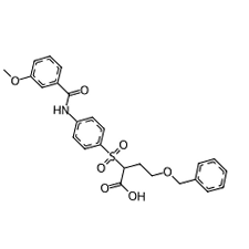 COc1cccc(C(=O)Nc2ccc(S(=O)(=O)C(CCOCc3ccccc3)C(=O)O)cc2)c1